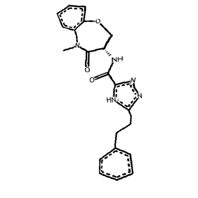 CN1C(=O)[C@@H](NC(=O)c2nnc(CCc3ccccc3)[nH]2)COc2ccccc21